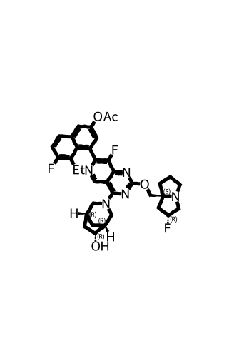 CCc1c(F)ccc2cc(OC(C)=O)cc(-c3ncc4c(N5C[C@@H]6C[C@H](C5)[C@H](O)C6)nc(OC[C@@]56CCCN5C[C@H](F)C6)nc4c3F)c12